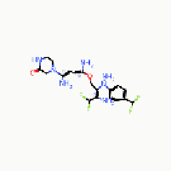 N/C(=C(/CO/C(N)=C/C=C(\N)N1CCNC(=O)C1)N(N)c1ccc(C(F)F)cc1)C(F)F